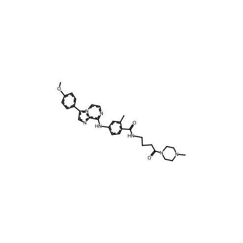 COc1ccc(-c2cnc3c(Nc4ccc(C(=O)NCCCC(=O)N5CCN(C)CC5)c(C)c4)nccn23)cc1